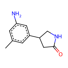 Cc1cc(N)cc(C2CNC(=O)C2)c1